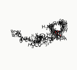 CC[C@H](C)[C@@H]1NC(=O)CNC(=O)[C@H]2Cc3c([nH]c4cc(OC(=O)N(CCN(C)C(=O)OCc5ccc(NC(=O)[C@H](CC(N)=O)NC(=O)[C@H](C)NC(=O)[C@H](C)NC(=O)CCOCCOCCNC(=O)c6ccc7nc(CBr)c(CBr)nc7c6)cc5)C(C)C)ccc34)[S+]([O-])C[C@H](NC(=O)CNC1=O)C(=O)N[C@@H](CC(N)=O)C(=O)N1C[C@H](O)C[C@H]1C(=O)N[C@@H]([C@@H](C)[C@@H](O)CO)C(=O)N2